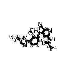 COc1c(Nc2cc(NC(=O)C3CC3)ncc2C#N)cccc1-c1ncn(C)n1